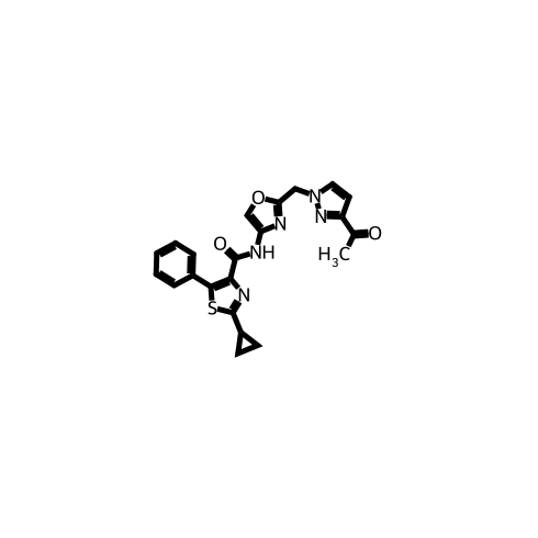 CC(=O)c1ccn(Cc2nc(NC(=O)c3nc(C4CC4)sc3-c3ccccc3)co2)n1